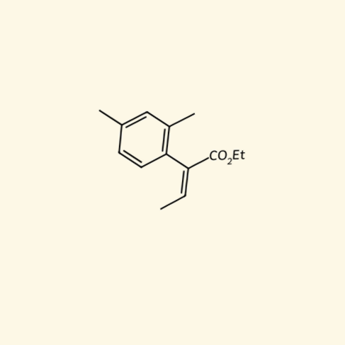 C/C=C(/C(=O)OCC)c1ccc(C)cc1C